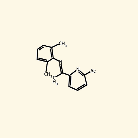 CC(=O)c1cccc(/C(C)=N/c2c(C)cccc2C)n1